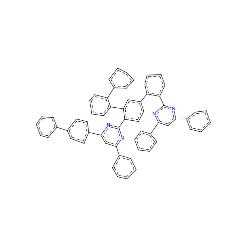 c1ccc(-c2ccc(-c3cc(-c4ccccc4)nc(-c4ccc(-c5ccccc5-c5nc(-c6ccccc6)cc(-c6ccccc6)n5)cc4-c4ccccc4-c4ccccc4)n3)cc2)cc1